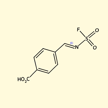 O=C(O)c1ccc(/C=N/S(=O)(=O)F)cc1